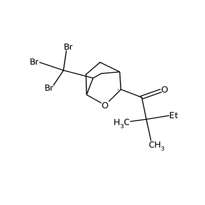 [CH2]CC(C)(C)C(=O)[C]1OC2CCC1CC2C(Br)(Br)Br